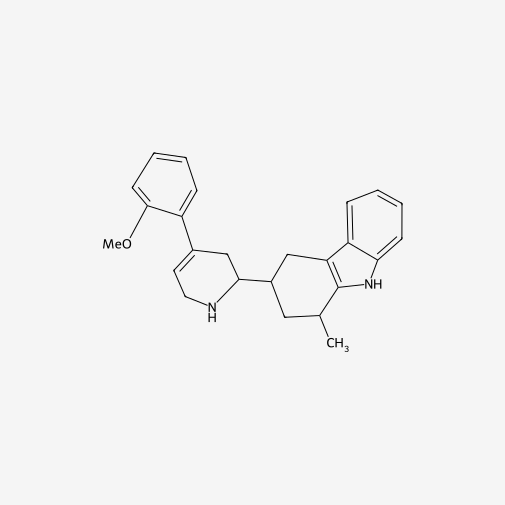 COc1ccccc1C1=CCNC(C2Cc3c([nH]c4ccccc34)C(C)C2)C1